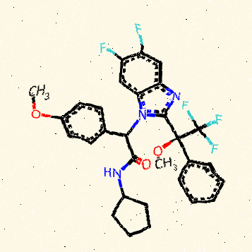 COc1ccc(C(C(=O)NC2CCCC2)n2c([C@@](OC)(c3ccccc3)C(F)(F)F)nc3cc(F)c(F)cc32)cc1